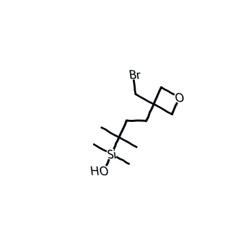 CC(C)(CCC1(CBr)COC1)[Si](C)(C)O